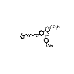 CSc1ccc(COC2CN(C(=O)O)CCC2c2ccc(OCCCOCc3cccs3)cc2)cc1